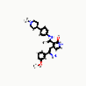 C=C(Nc1ccc(C2CCN(C)CC2)cc1)c1c(/C=C(\N)c2cccc(OC)c2)cc[nH]c1=O